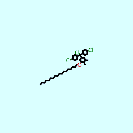 CCCCCCCCCCCCCCCCCCOc1cc(C(Cl)(c2ccc(Cl)cc2)c2ccc(Cl)cc2)cc(C)c1C